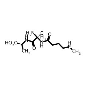 CPCCCC(=O)N[C@](C)(N)C(=O)N[C@@H](C)C(=O)O